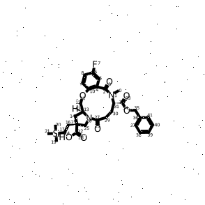 CN1C(=O)c2cc(F)ccc2OC[C@@H]2C[C@@](CC[Si](C)(C)C)(C(=O)O)CN2C(=O)CC[C@H]1C(=O)OCc1ccccc1